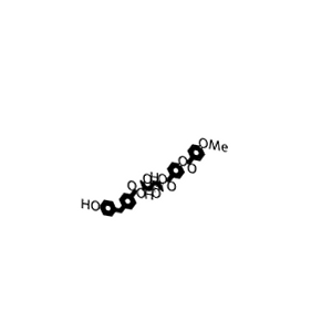 COc1ccc(C(=O)Oc2ccc(C(=O)O[C@H]3CO[C@H]4[C@@H]3OC[C@H]4OC(=O)c3ccc(Cc4ccc(O)cc4)cc3)cc2)cc1